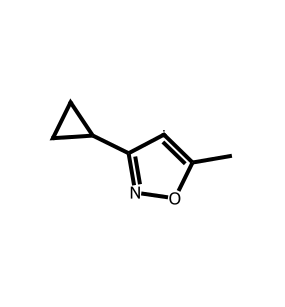 Cc1[c]c(C2CC2)no1